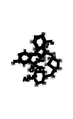 CN=S(=O)(c1cc(F)ccc1-n1cc(C[C@@H]2CCN(CC3CCN(C(C)=O)CC3)C2)c2c(C)cncc21)C(C)C